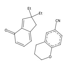 CCC1(CC)C=C2C(=O)C=CC=C2C1.N#Cc1ccc2c(c1)CCCO2